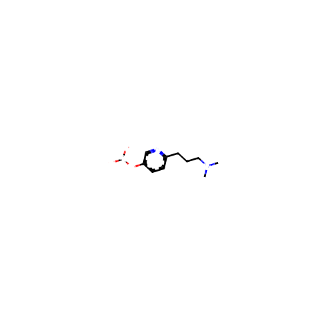 CN(C)CCCc1ccc(OB(O)O)cn1